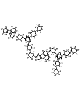 c1ccc(-c2ccc(-c3nc(-c4ccc(-c5cccc(-c6ccc7c(c6)-c6ccc(-c8cccc(-c9nc(-c%10ccc(-c%11ccccc%11)cc%10)nc(-c%10ccc(-c%11ccccc%11)cc%10)n9)c8)c8cccc-7c68)c5)cc4)nc(-c4ccc(-c5ccc6c7c(cccc57)-c5ccccc5-6)cc4)n3)cc2)cc1